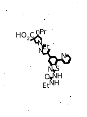 C=C(/N=C\C(=C/CC)c1cc(-c2ccccn2)c2sc(NC(=O)NCC)nc2c1)N1CC(CCC)C(C)(C(=O)O)C1